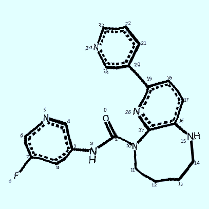 O=C(Nc1cncc(F)c1)N1CCCCNc2ccc(-c3cccnc3)nc21